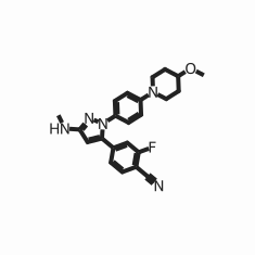 CNc1cc(-c2ccc(C#N)c(F)c2)n(-c2ccc(N3CCC(OC)CC3)cc2)n1